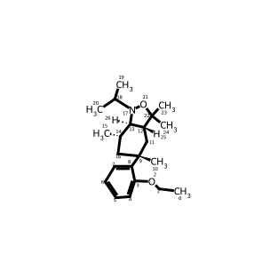 CCOc1ccccc1[C@@]1(C)C[C@@H]2[C@@H]([C@@H](C)C1)N(C(C)C)OC2(C)C